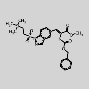 COC(=O)C(=Cc1ccc2c(cnn2S(=O)(=O)CC[Si](C)(C)C)c1)NC(=O)OCc1ccccc1